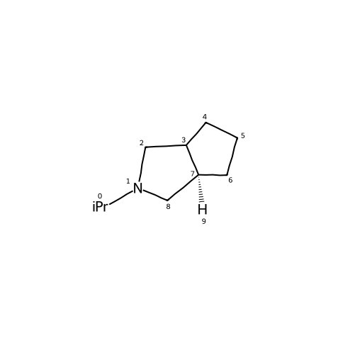 CC(C)N1CC2CCC[C@H]2C1